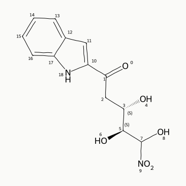 O=C(C[C@H](O)[C@H](O)C(O)[N+](=O)[O-])c1cc2ccccc2[nH]1